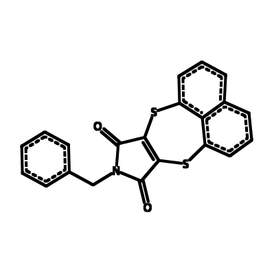 O=C1C2=C(Sc3cccc4cccc(c34)S2)C(=O)N1Cc1ccccc1